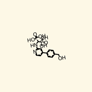 O=P(O)(O)C(Nc1cc(-c2ccc(CO)cc2)ccn1)P(=O)(O)O